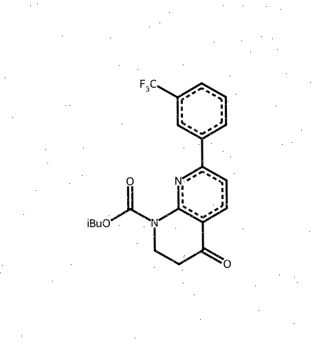 CC(C)COC(=O)N1CCC(=O)c2ccc(-c3cccc(C(F)(F)F)c3)nc21